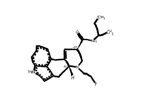 CCC(C)NC(=O)[C@@H]1C=C2c3cccc4[nH]cc(c34)C[C@H]2N(CCF)C1